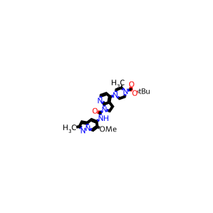 COc1cn2nc(C)cc2cc1NC(=O)N1CCc2c(N3CCN(C(=O)OC(C)(C)C)[C@H](C)C3)ccnc21